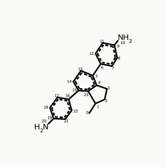 CC1CCc2c(-c3ccc(N)cc3)ccc(-c3ccc(N)cc3)c21